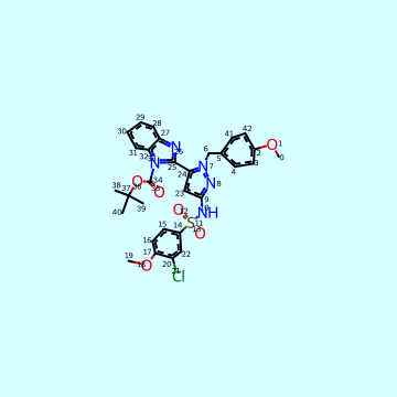 COc1ccc(Cn2nc(NS(=O)(=O)c3ccc(OC)c(Cl)c3)cc2-c2nc3ccccc3n2C(=O)OC(C)(C)C)cc1